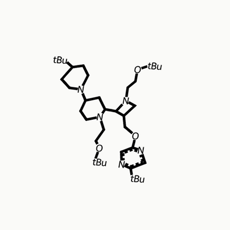 CC(C)(C)OCCN1CCC(N2CCC(C(C)(C)C)CC2)CC1C1C(COc2cnc(C(C)(C)C)cn2)CN1CCOC(C)(C)C